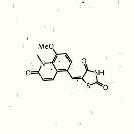 COc1ccc(/C=C2/SC(=O)NC2=O)c2ccc(=O)n(C)c12